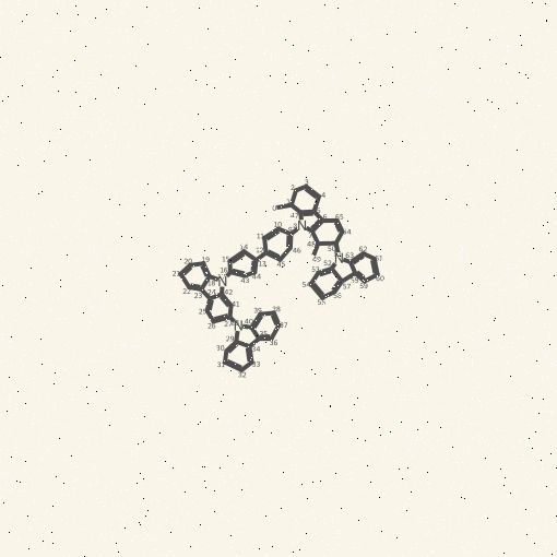 CC1CC=Cc2c3c(n(-c4ccc(-c5ccc(-n6c7ccccc7c7ccc(-n8c9ccccc9c9ccccc98)cc76)cc5)cc4)c21)C(C)C(n1c2ccccc2c2ccccc21)C=C3